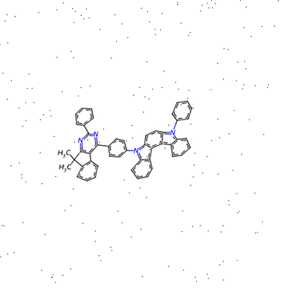 CC1(C)c2ccccc2-c2c(-c3ccc(-n4c5ccccc5c5c6c7ccccc7n(-c7ccccc7)c6ccc54)cc3)nc(-c3ccccc3)nc21